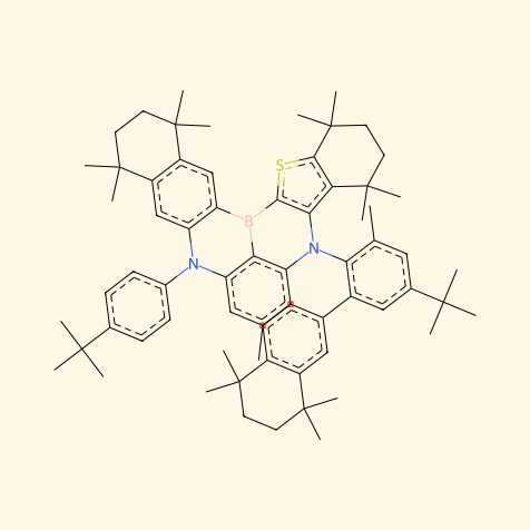 Cc1cc2c3c(c1)N(c1c(C)cc(C(C)(C)C)cc1-c1ccc4c(c1)C(C)(C)CCC4(C)C)c1c(sc4c1C(C)(C)CCC4(C)C)B3c1cc3c(cc1N2c1ccc(C(C)(C)C)cc1)C(C)(C)CCC3(C)C